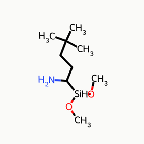 CO[SiH](OC)C(N)CCC(C)(C)C